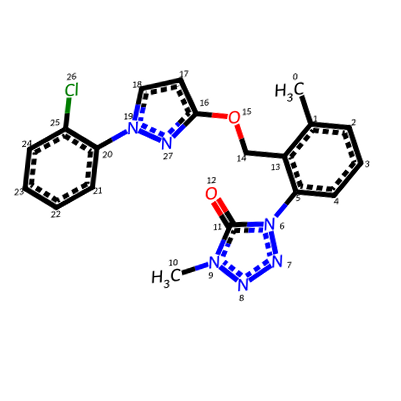 Cc1cccc(-n2nnn(C)c2=O)c1COc1ccn(-c2ccccc2Cl)n1